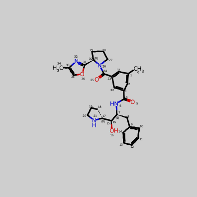 Cc1cc(C(=O)N[C@@H](Cc2ccccc2)[C@@H](O)[C@H]2CCCN2)cc(C(=O)N2CCC[C@@H]2c2nc(C)co2)c1